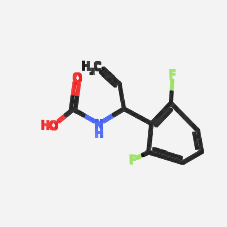 C=CC(NC(=O)O)c1c(F)cccc1F